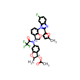 CC(=O)O[C@H]1c2ccc(N(C(=O)C(F)(F)F)[C@@H]3COc4c3cccc4-n3c(-c4ccc(C)o4)nc4ccc(F)cc43)cc2OC1C